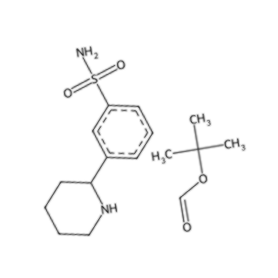 CC(C)(C)OC=O.NS(=O)(=O)c1cccc(C2CCCCN2)c1